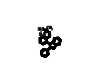 CC(C)(C)/N=C\c1ccccc1C1C(c2ccccc2)=Cc2ccccc21